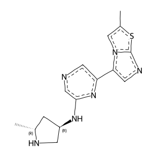 Cc1cn2c(-c3cncc(N[C@H]4CN[C@H](C)C4)n3)cnc2s1